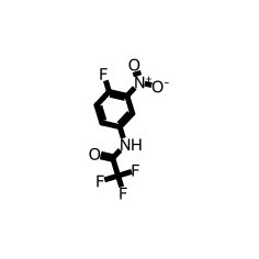 O=C(Nc1ccc(F)c([N+](=O)[O-])c1)C(F)(F)F